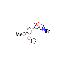 COc1ccc(C2=NOC3(CCN(C(C)C)C3)C2)cc1OC1CCCC1